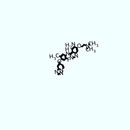 Cc1cc(Nc2ncnc3cc(OCCN(C)C)c(N)cc23)c(F)cc1Oc1ccn2ncnc2c1